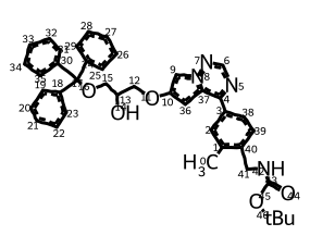 Cc1cc(-c2ncnn3cc(OCC(O)COC(c4ccccc4)(c4ccccc4)c4ccccc4)cc23)ccc1CNC(=O)OC(C)(C)C